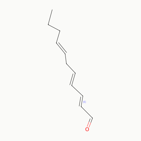 CCCC=CCC=C/C=C/C=O